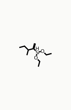 C=C(C(C)CC)[SiH](OCC)OCC